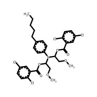 CCCCCc1ccc(N(C(COC)OC(=O)c2cc(Cl)ccc2Cl)C(COC)OC(=O)c2cc(Cl)ccc2Cl)cc1